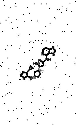 c1cc2ncsc2c(Nc2cc([C@@H]3CC[C@H](Oc4nscc4C4CC4)C3)[nH]n2)n1